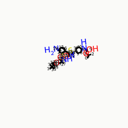 CC(C)OC(O)N[C@H]1CC[C@H](c2ncc(-c3ccc(N)cc3S(=O)(=O)NC(C)(C)CO[Si](C)(C)C(C)(C)C)s2)CC1